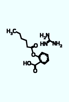 CCCCCC(=O)Oc1ccccc1C(=O)O.N=C(N)N